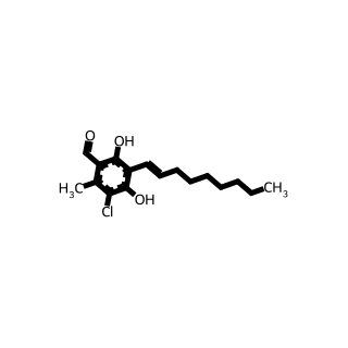 CCCCCCC/C=C/c1c(O)c(Cl)c(C)c(C=O)c1O